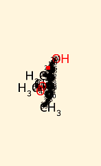 C=C(C)C(=O)OCc1cc(-c2ccc(-c3ccc(CCCO)cc3)c(CC)c2)ccc1C1CCC(CCCCC)CC1